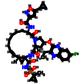 CCc1nc2ccc(F)cc2nc1O[C@@H]1C[C@H]2C(=O)N[C@]3(C(=O)NS(=O)(=O)C4(C)CC4)C[C@H]3C=CCCCCC[C@H](NC(=O)c3cc(C4CC4)on3)C(=O)N2C1